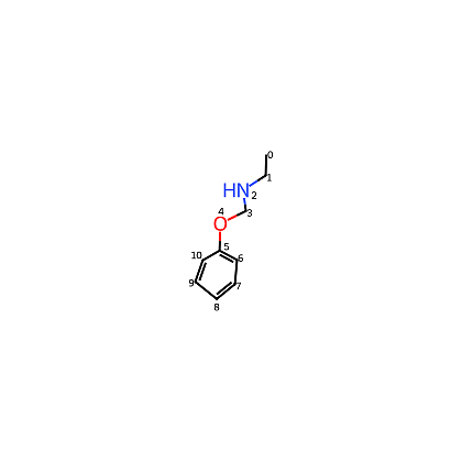 CCNCOc1ccccc1